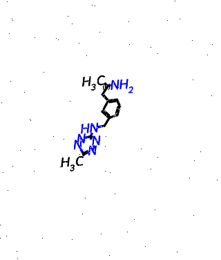 Cc1nnc(NCc2cccc(C[C@@H](C)N)c2)nn1